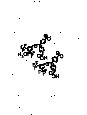 COC(=O)c1ccc(C(COCc2cc(C(F)(F)F)cc(C(F)(F)F)c2)N2CCN(CC(=O)O)CC2)cc1.COC(=O)c1ccc(C(COCc2cc(C(F)(F)F)cc(C(F)(F)F)c2)N2CCN(CC(=O)O)CC2)cc1.O